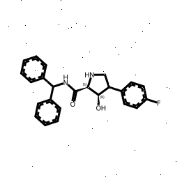 O=C(NC(c1ccccc1)c1ccccc1)[C@H]1NCC(c2ccc(F)cc2)[C@H]1O